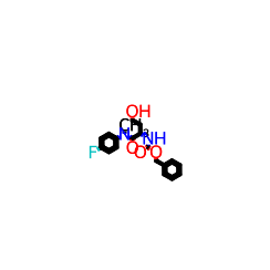 CN(C(=O)C(CCO)NC(=O)OCc1ccccc1)c1ccc(F)cc1